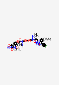 COc1ccc(-n2c(C)nnc2CC(C)C(=O)NCCOCCOCCNC(=O)COc2cccc(C(=O)N(C=O)C3CCC(=O)NC3=O)c2C)c(C(=N)c2ccc(Cl)cc2)c1